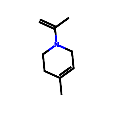 C=C(C)N1CC=C(C)CC1